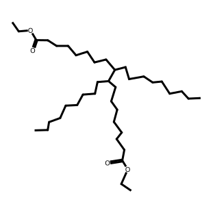 CCCCCCCCCC(CCCCCCCC(=O)OCC)C(CCCCCCCCC)CCCCCCCC(=O)OCC